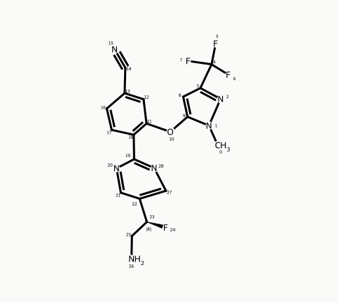 Cn1nc(C(F)(F)F)cc1Oc1cc(C#N)ccc1-c1ncc([C@@H](F)CN)cn1